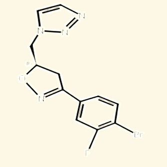 Fc1cc(C2=NO[C@@H](Cn3ccnn3)C2)ccc1Br